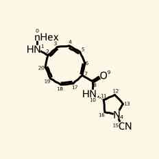 CCCCCCNc1ccccc(C(=O)N[C@@H]2CCN(C#N)C2)cccc1